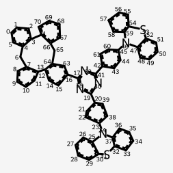 c1ccc2c(c1)Cc1ccccc1-c1ccc(-c3nc(-c4ccc(N5c6ccccc6Sc6ccccc65)cc4)nc(-c4ccc(N5c6ccccc6Sc6ccccc65)cc4)n3)cc1Cc1ccccc1-2